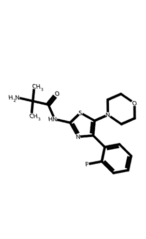 CC(C)(N)C(=O)Nc1nc(-c2ccccc2F)c(N2CCOCC2)s1